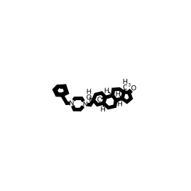 C[C@]12CC[C@](O)(CN3CCN(Cc4ccccc4)CC3)C[C@@H]1CC[C@@H]1[C@@H]2CC[C@]2(C)C(=O)CC[C@@H]12